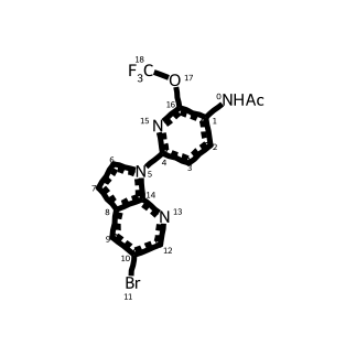 CC(=O)Nc1ccc(-n2ccc3cc(Br)cnc32)nc1OC(F)(F)F